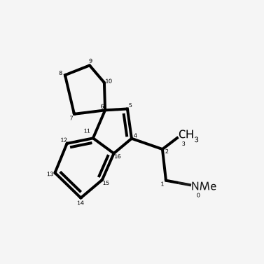 CNCC(C)C1=CC2(CCCC2)c2ccccc21